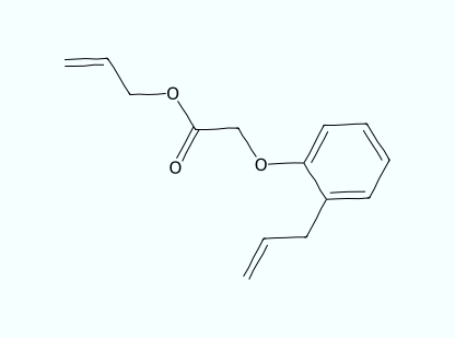 C=CCOC(=O)COc1ccccc1CC=C